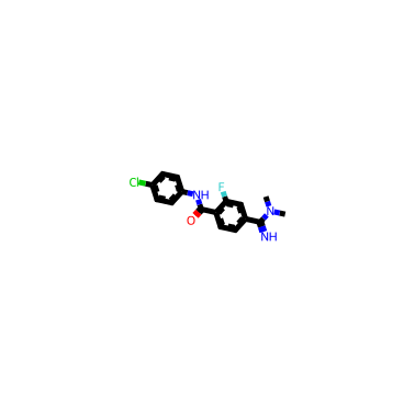 CN(C)C(=N)c1ccc(C(=O)Nc2ccc(Cl)cc2)c(F)c1